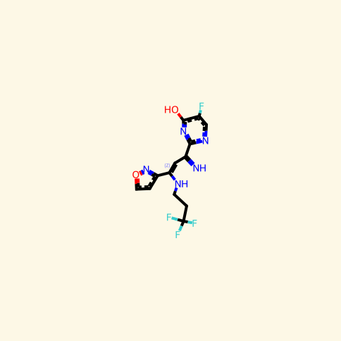 N=C(/C=C(\NCCC(F)(F)F)c1ccon1)c1ncc(F)c(O)n1